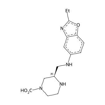 CCc1nc2cc(NC[C@@H]3CN(C(=O)O)CCN3)ccc2o1